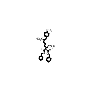 O=C(O)C(CCCC(C(=O)O)N(C(=O)OCc1ccccc1)C(=O)OCc1ccccc1)Cc1ccc([N+](=O)[O-])cc1